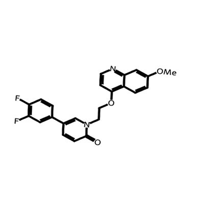 COc1ccc2c(OCCn3cc(-c4ccc(F)c(F)c4)ccc3=O)ccnc2c1